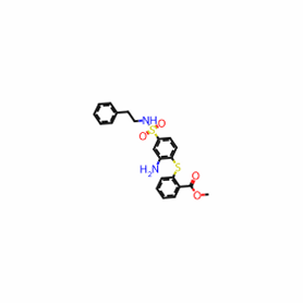 COC(=O)c1ccccc1Sc1ccc(S(=O)(=O)NCCc2ccccc2)cc1N